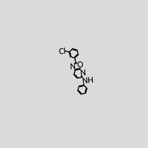 Clc1cccc(-c2nc3ccc(Nc4ccccc4)nc3o2)c1